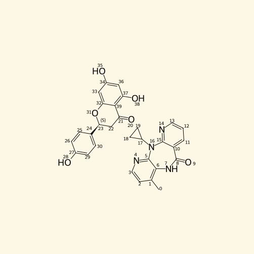 Cc1ccnc2c1NC(=O)c1cccnc1N2C1CC1.O=C1C[C@@H](c2ccc(O)cc2)Oc2cc(O)cc(O)c21